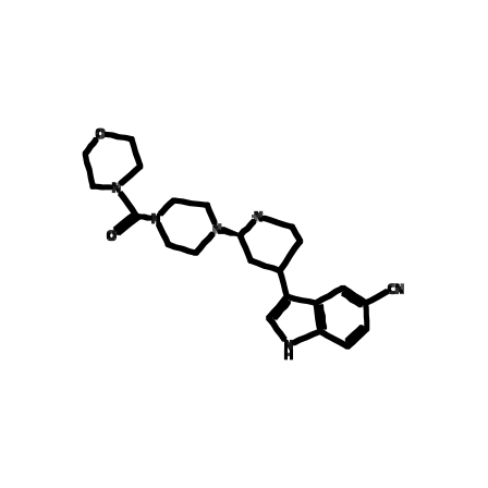 N#Cc1ccc2[nH]cc(C3CC[N][C@H](N4CCN(C(=O)N5CCOCC5)CC4)C3)c2c1